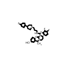 C[C@H](c1ccccc1)N1CC[C@@H](c2ccc(F)c(F)c2)N(C(=O)NCCCN2CCC(c3ccc(F)cc3)CC2)C1=O.Cl